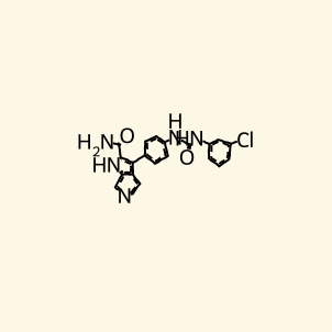 NC(=O)c1[nH]c2cnccc2c1-c1ccc(NC(=O)Nc2cccc(Cl)c2)cc1